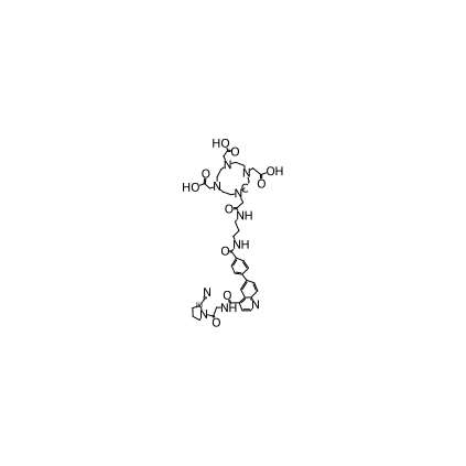 N#C[C@@H]1CCCN1C(=O)CNC(=O)c1ccnc2ccc(-c3ccc(C(=O)NCCCNC(=O)CN4CCN(CC(=O)O)CCN(CC(=O)O)CCN(CC(=O)O)CC4)cc3)cc12